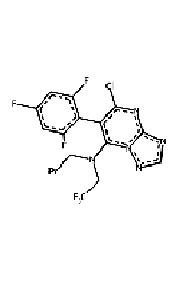 CC(C)CN(CC(F)(F)F)c1c(-c2c(F)cc(F)cc2F)c(Cl)nc2ncnn12